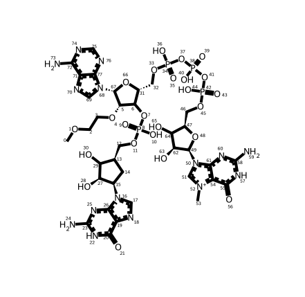 COCCO[C@H]1C(OP(=O)(O)OC[C@H]2C[C@@H](n3cnc4c(=O)[nH]c(N)nc43)[C@@H](O)C2O)[C@@H](COP(=O)(O)OP(=O)(O)OP(=O)(O)OC[C@H]2O[C@@H](n3c[n+](C)c4c(=O)[nH]c(N)nc43)[C@@H](O)C2O)O[C@H]1n1cnc2c(N)ncnc21